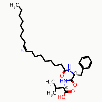 CCCCCCCC/C=C\CCCCCCCC(=O)N[C@@H](Cc1ccccc1)C(=O)N[C@H](C(=O)O)C(C)C